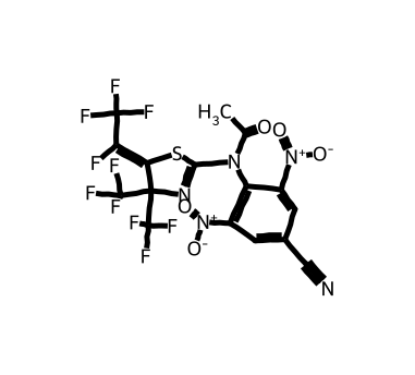 CC(=O)N(C1=NC(C(F)(F)F)(C(F)(F)F)C(=C(F)C(F)(F)F)S1)c1c([N+](=O)[O-])cc(C#N)cc1[N+](=O)[O-]